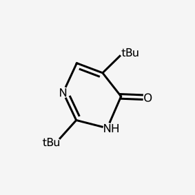 CC(C)(C)c1ncc(C(C)(C)C)c(=O)[nH]1